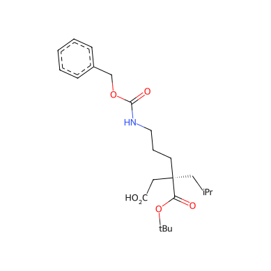 CC(C)C[C@@](CCCNC(=O)OCc1ccccc1)(CC(=O)O)C(=O)OC(C)(C)C